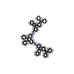 C1=CCCC(N(C2=CCCC=C2)C2C=CC3=C(C2)C2(CC4=C(CCC=C4)C2)C2C=C(/C=C/c4ccc5c(-c6ccccc6)c(-c6ccccc6)c6ccc(/C=C/c7ccc8c(c7)C7(Cc9ccccc9C7)c7cc(N(c9ccccc9)c9ccccc9)ccc7-8)cc6c5c4)C=CC32)=C1